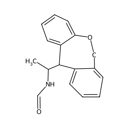 CC(NC=O)C1c2ccccc2COc2ccccc21